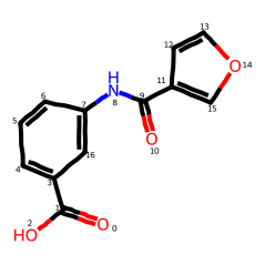 O=C(O)c1cccc(NC(=O)c2ccoc2)c1